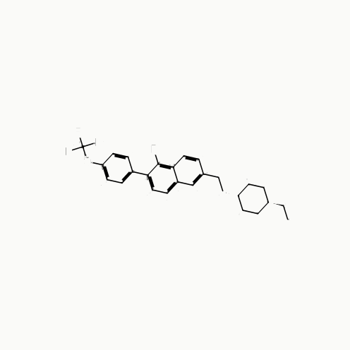 CC[C@H]1CC[C@H](CCc2ccc3c(F)c(-c4ccc(OC(F)(F)F)cc4)ccc3c2)CC1